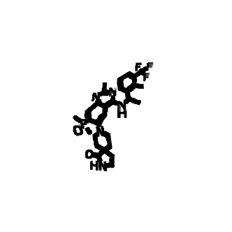 Cc1nc(NC(C)c2cccc(C(F)(F)F)c2C)c2cc(N3CCC4(CCNC4=O)CC3)c(P(C)(C)=O)cc2n1